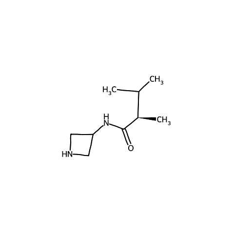 CC(C)[C@@H](C)C(=O)NC1CNC1